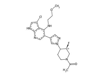 COCCNc1c(-c2cnn(C3CCN(C(C)=O)C[C@@H]3F)c2)cnc2[nH]cc(Cl)c12